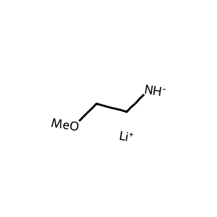 COCC[NH-].[Li+]